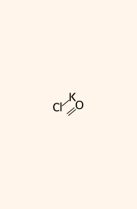 C=O.[Cl][K]